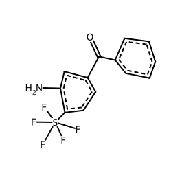 Nc1cc(C(=O)c2ccccc2)ccc1S(F)(F)(F)(F)F